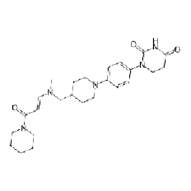 CN(/C=C/C(=O)N1CCCCC1)CC1CCN(c2ccc(N3CCC(=O)NC3=O)cc2)CC1